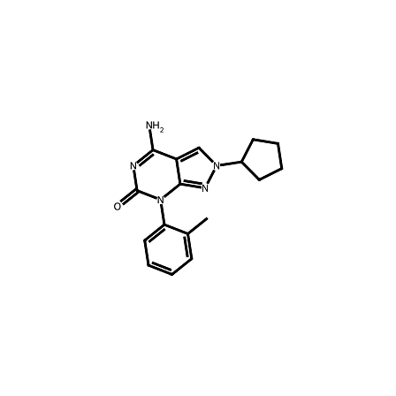 Cc1ccccc1-n1c(=O)nc(N)c2cn(C3CCCC3)nc21